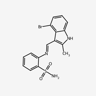 Cc1[nH]c2cccc(Br)c2c1/C=N/c1ccccc1S(N)(=O)=O